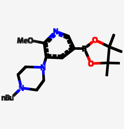 CCCCN1CCN(c2cc(B3OC(C)(C)C(C)(C)O3)cnc2OC)CC1